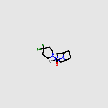 CN1CC2CCC(C1)N2C(=O)N1CCC(F)(F)CC1